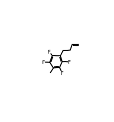 C=CCCc1c(F)c(F)c(C)c(F)c1F